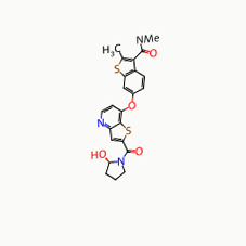 CNC(=O)c1c(C)sc2cc(Oc3ccnc4cc(C(=O)N5CCC[C@H]5O)sc34)ccc12